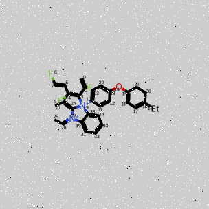 C=C(F)/C(=C(F)\C=C\F)[N+]1(c2ccc(OC3=CC=C(CC)CC3)cc2)C(=C/C)/[N+](=C\C)c2ccccc21